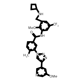 COc1cncc(-c2cn(-c3cc(C(=O)Nc4cc(C(F)(F)F)cc(CNC5CCC5)c4OC)ccc3C)nn2)c1